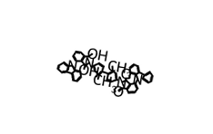 Cc1cc(N2C(=O)c3cccc(-n4c5ccccc5c5ccccc54)c3C2=O)ccc1-c1ccc(N2C(O)c3cccc(-n4c5ccccc5c5ccccc54)c3C2O)cc1C